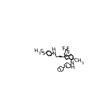 CSc1ccc(NCC#Cc2cc3c(NC4CCN(C5CCOCC5)CC4)c(C)ccc3n2CC(F)(F)F)cc1